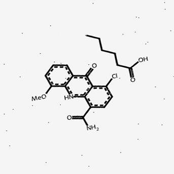 CCCCCC(=O)O.COc1cccc2c(=O)c3c(Cl)ccc(C(N)=O)c3[nH]c12